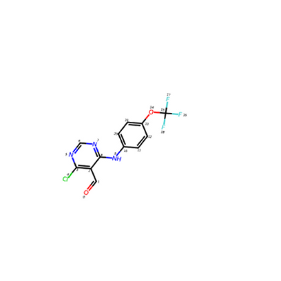 O=Cc1c(Cl)ncnc1Nc1ccc(OC(F)(F)F)cc1